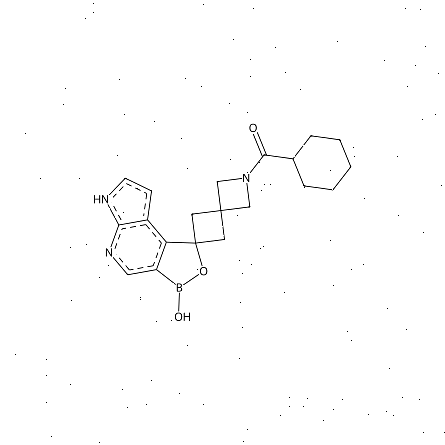 O=C(C1CCCCC1)N1CC2(C1)CC1(C2)OB(O)c2cnc3[nH]ccc3c21